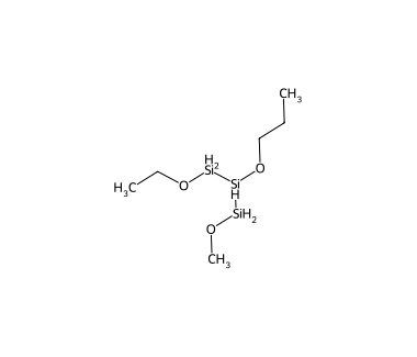 CCCO[SiH]([SiH2]OC)[SiH2]OCC